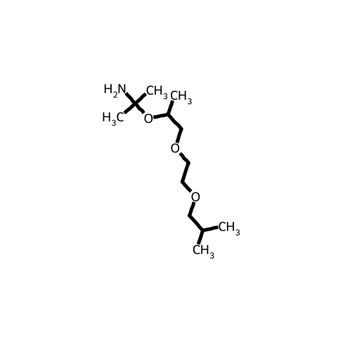 CC(C)COCCOCC(C)OC(C)(C)N